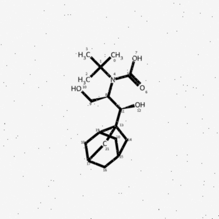 CC(C)(C)N(C(=O)O)[C@H](CO)[C@@H](O)C12CC3CC(CC1C3)C2